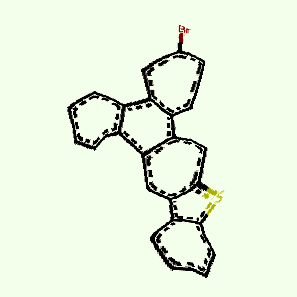 Brc1ccc2c(c1)c1ccccc1c1cc3c(cc21)sc1ccccc13